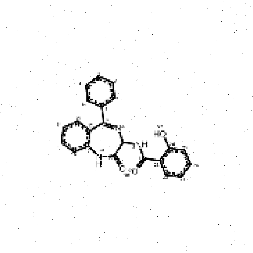 O=C(NC1N=C(c2ccccc2)c2ccccc2NC1=O)c1ccccc1O